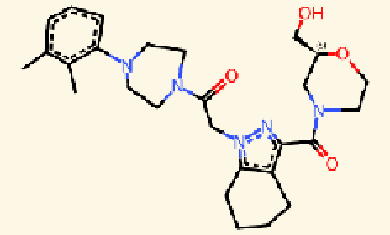 Cc1cccc(N2CCN(C(=O)Cn3nc(C(=O)N4CCO[C@H](CO)C4)c4c3CCCC4)CC2)c1C